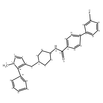 Cn1ncc(CN2CCC(NC(=O)c3ccc(-c4cccc(F)c4)nc3)CC2)c1-c1ccccc1